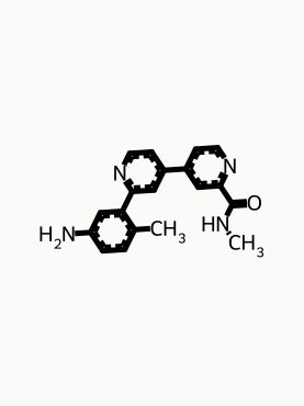 CNC(=O)c1cc(-c2ccnc(-c3cc(N)ccc3C)c2)ccn1